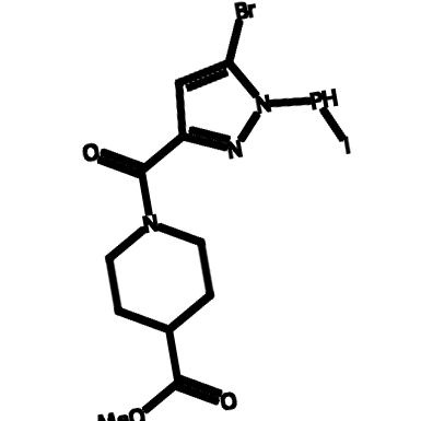 COC(=O)C1CCN(C(=O)c2cc(Br)n(PI)n2)CC1